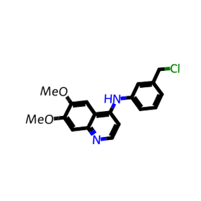 COc1cc2nccc(Nc3cccc(CCl)c3)c2cc1OC